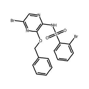 O=S(=O)(Nc1ncc(Br)nc1OCc1ccccc1)c1ccccc1Br